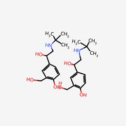 CC(C)(C)NCC(O)c1ccc(O)c(CO)c1.CC(C)(C)NC[C@H](O)c1ccc(O)c(CO)c1